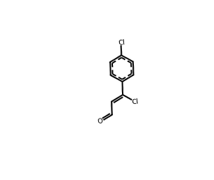 O=CC=C(Cl)c1ccc(Cl)cc1